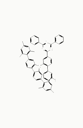 Cc1cc(C)c(-c2ccc3c4ccc(-c5c(C)cc(C)cc5C)cc4n(-c4cc(-c5nc(-c6ccccc6)nc(-c6ccccc6)n5)ccc4-c4cccc(F)c4)c3c2)c(C)c1